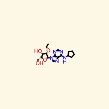 CCOC1C(O)[C@@H](CO)O[C@H]1n1cnc2c(NC3CCCC3)ncnc21